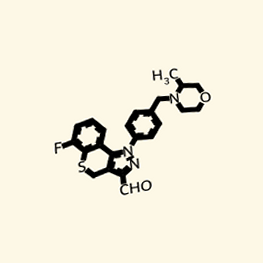 CC1COCCN1Cc1ccc(-n2nc(C=O)c3c2-c2cccc(F)c2SC3)cc1